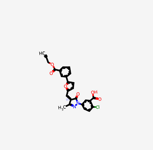 C#CCOC(=O)c1cccc(-c2ccc(/C=C3\C(=O)N(c4ccc(Cl)c(C(=O)O)c4)N=C3C)o2)c1